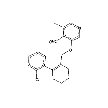 Cc1cncc(OCC2=C(c3ccccc3Cl)CCCC2)c1C=O